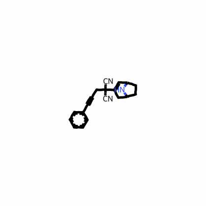 N#CC(C#N)(CC#Cc1ccccc1)C1=CC2CCC(C1)N2